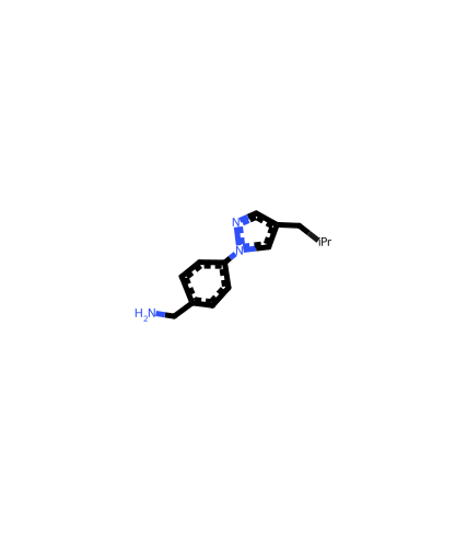 CC(C)Cc1cnn(-c2ccc(CN)cc2)c1